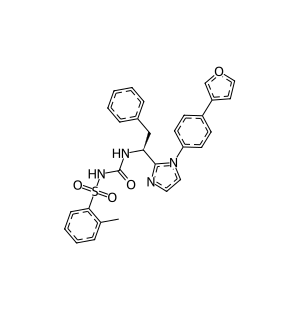 Cc1ccccc1S(=O)(=O)NC(=O)N[C@@H](Cc1ccccc1)c1nccn1-c1ccc(-c2ccoc2)cc1